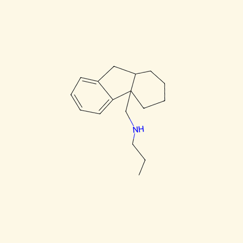 CCCNCC12CCCCC1Cc1ccccc12